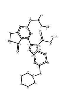 CC(CO)Oc1cc2c(c(-c3cc4cc(CN5CCCCC5)ccc4n3C(=O)OC(C)(C)C)c1)C(=O)NC2